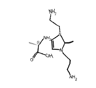 CC1N(CCN)C=CN1CCN.C[C@H](N)C(=O)O